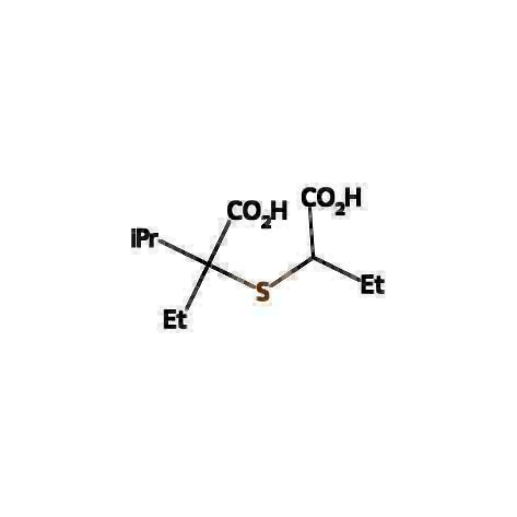 CCC(SC(CC)(C(=O)O)C(C)C)C(=O)O